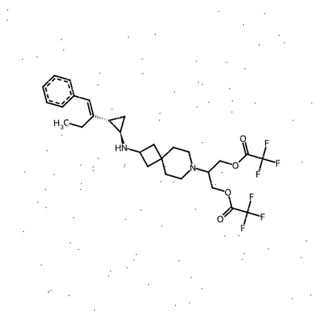 CC/C(=C\c1ccccc1)[C@@H]1C[C@H]1NC1CC2(CCN(C(COC(=O)C(F)(F)F)COC(=O)C(F)(F)F)CC2)C1